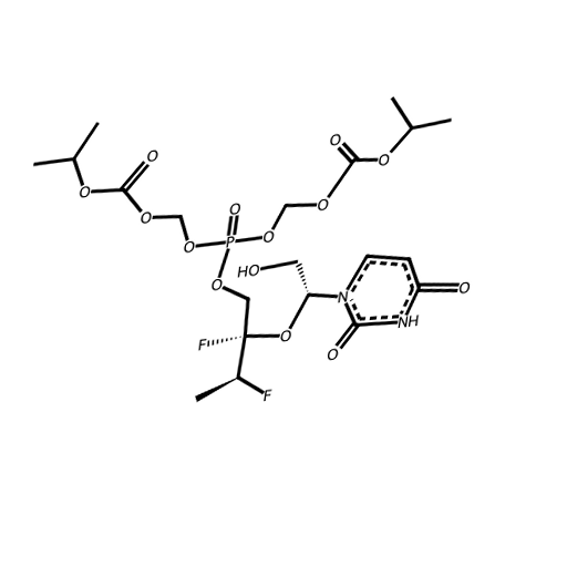 CC(C)OC(=O)OCOP(=O)(OCOC(=O)OC(C)C)OC[C@@](F)(O[C@H](CO)n1ccc(=O)[nH]c1=O)[C@H](C)F